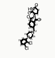 O=C1CCC(N2C(=O)c3ccc(CN4CCN(c5cccc(Cl)c5Cl)CC4)cc3C2=O)C(=O)N1